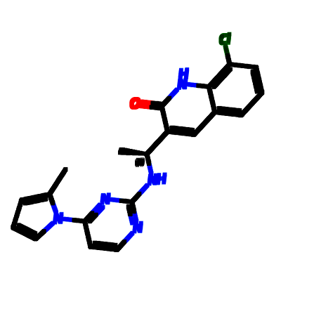 Cc1cccn1-c1ccnc(N[C@@H](C)c2cc3cccc(Cl)c3[nH]c2=O)n1